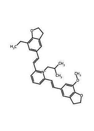 CCc1cc(/C=C/c2cccc(/C=C/c3cc4c(c(OC)c3)OCC4)[n+]2CC(C)C)cc2c1OCC2